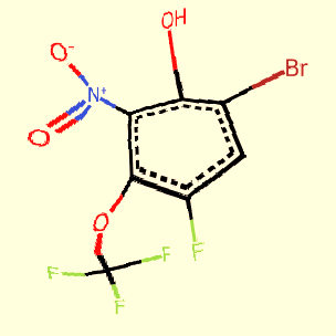 O=[N+]([O-])c1c(O)c(Br)cc(F)c1OC(F)(F)F